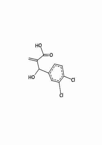 C=C(C(=O)O)C(O)c1ccc(Cl)c(Cl)c1